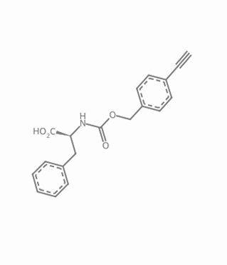 C#Cc1ccc(COC(=O)N[C@@H](Cc2ccccc2)C(=O)O)cc1